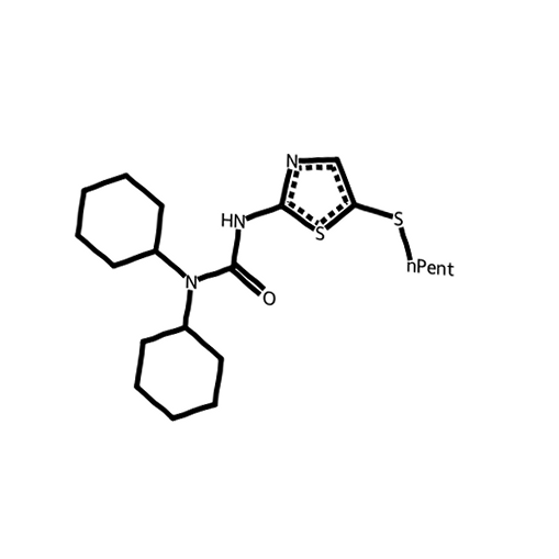 CCCCCSc1cnc(NC(=O)N(C2CCCCC2)C2CCCCC2)s1